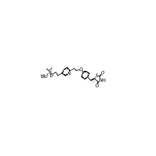 CC(C)(C)[Si](C)(C)OCCc1ccc(CCOc2ccc(/C=C3\SC(=O)NC3=O)cc2)nc1